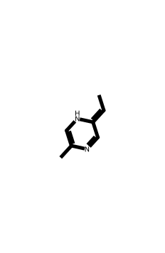 C/C=C1/C=NC(C)=CN1